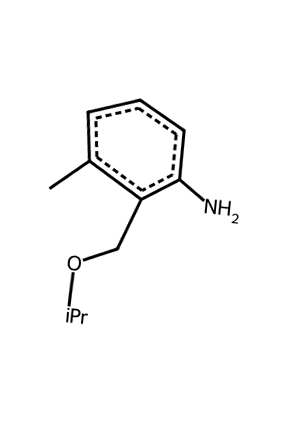 Cc1cccc(N)c1COC(C)C